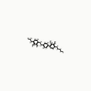 CCCCCc1ccc(-c2ccc(CCc3ccc(CCC)c(F)c3F)cc2)c(F)c1F